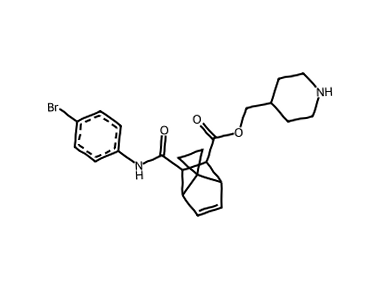 O=C(Nc1ccc(Br)cc1)C1C(C(=O)OCC2CCNCC2)C2C=CC1C21CC1